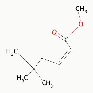 COC(=O)/C=C\CC(C)(C)C